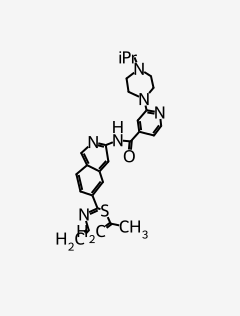 C=C/N=C(\SC(=C)C)c1ccc2cnc(NC(=O)c3ccnc(N4CCN(C(C)C)CC4)c3)cc2c1